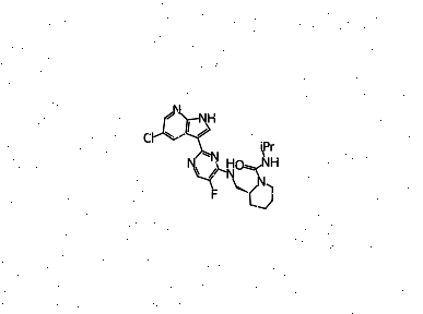 CC(C)NC(=O)N1CCCC[C@H]1CNc1nc(-c2c[nH]c3ncc(Cl)cc23)ncc1F